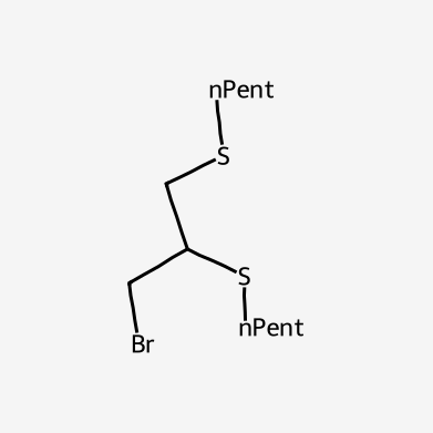 CCCCCSCC(CBr)SCCCCC